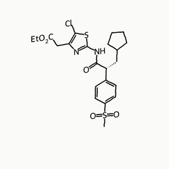 CCOC(=O)Cc1nc(NC(=O)[C@H](CC2CCCC2)c2ccc(S(C)(=O)=O)cc2)sc1Cl